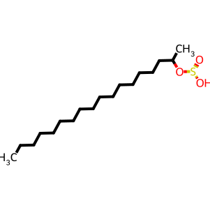 CCCCCCCCCCCCCCCCC(C)OS(=O)O